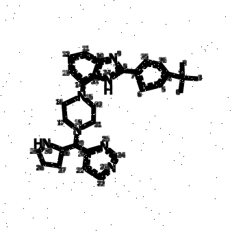 CC(C)(C)c1ccc(-c2nc3cccc(N4CCN(C(c5ccncn5)C5CCCN5)CC4)c3[nH]2)cc1